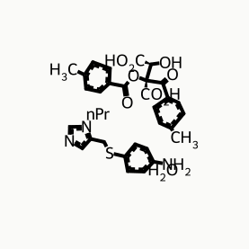 CCCn1cncc1CSc1ccc(N)cc1.Cc1ccc(C(=O)O[C@@](C(=O)O)(C(=O)c2ccc(C)cc2)[C@H](O)C(=O)O)cc1.O